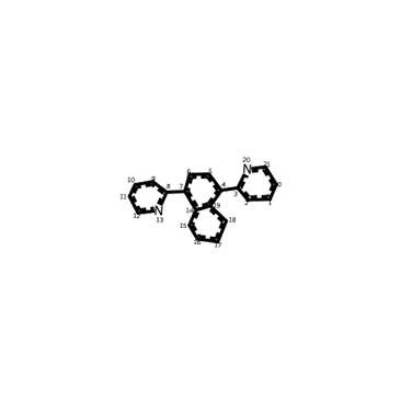 c1ccc(-c2ccc(-c3ccccn3)c3ccccc23)nc1